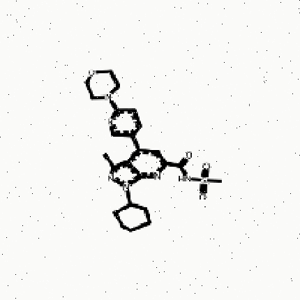 Cc1nn(C2CCCCC2)c2nc(C(=O)NS(C)(=O)=O)cc(-c3ccc(N4CCOCC4)nc3)c12